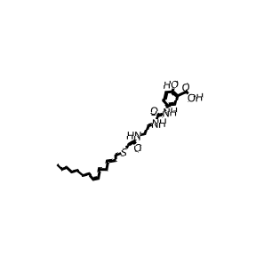 CCCCCCC/C=C\CCCCCSCC(=O)NCCNC(=O)Nc1ccc(O)c(C(=O)O)c1